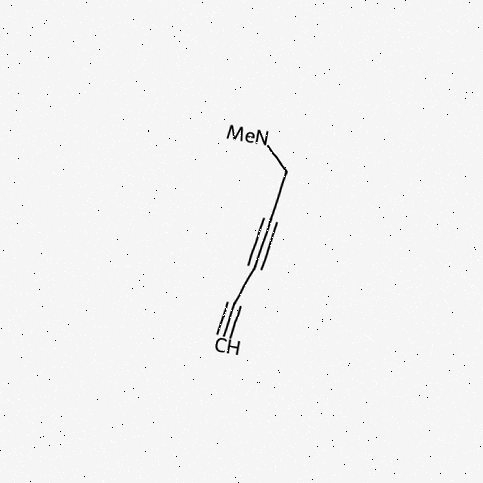 C#CC#CCNC